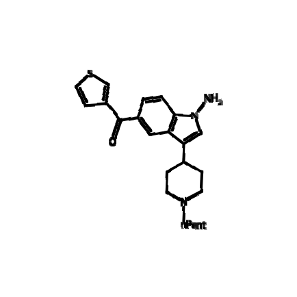 CCCCCN1CCC(c2cn(N)c3ccc(C(=O)c4ccsc4)cc23)CC1